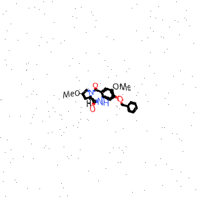 COc1cc2c(cc1OCc1ccccc1)NC(=O)[C@@H]1C[C@H](OC)CN1C2=O